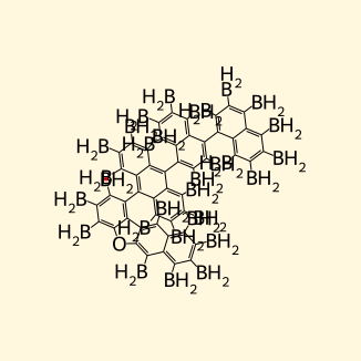 Bc1c(B)c(-c2c3c(B)c(B)c(B)c(B)c3c(-c3c(B)c(B)c(-c4c(B)c(B)c(B)c5c(B)c(B)c(B)c(B)c45)c4c(B)c(B)c(B)c(B)c34)c3c(B)c(B)c(B)c(B)c23)c2c(oc3c(B)c4c(B)c(B)c(B)c(B)c4c(B)c32)c1B